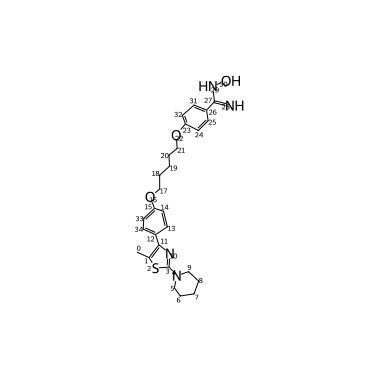 Cc1sc(N2CCCCC2)nc1-c1ccc(OCCCCCOc2ccc(C(=N)NO)cc2)cc1